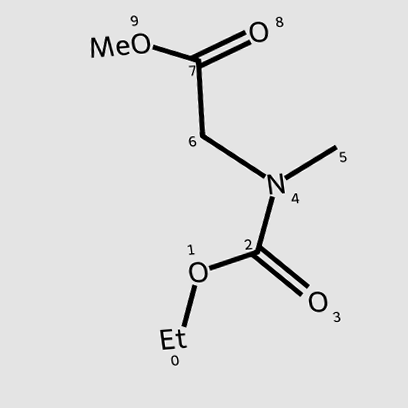 [CH2]COC(=O)N(C)CC(=O)OC